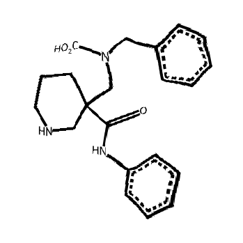 O=C(O)N(Cc1ccccc1)CC1(C(=O)Nc2ccccc2)CCCNC1